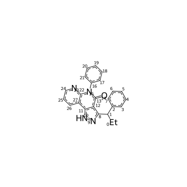 CCC(c1ccccc1)c1n[nH]c2c1c(=O)n(-c1ccccc1)c1ncccc21